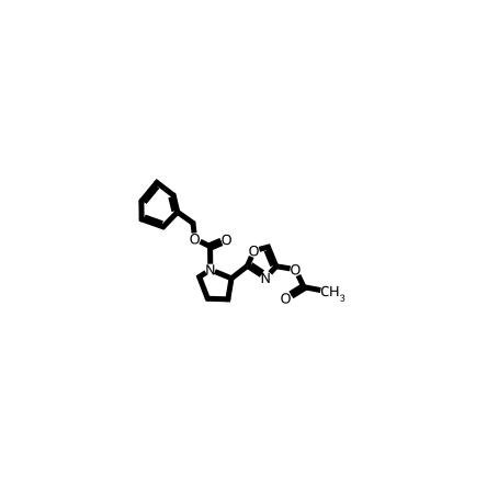 CC(=O)Oc1coc(C2CCCN2C(=O)OCc2ccccc2)n1